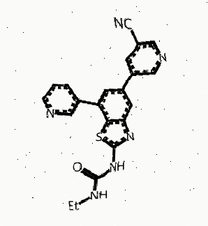 CCNC(=O)Nc1nc2cc(-c3cncc(C#N)c3)cc(-c3cccnc3)c2s1